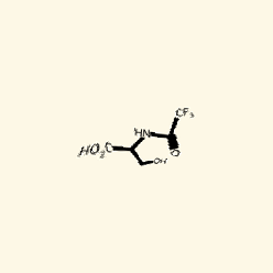 O=C(O)C(CO)NC(=O)C(F)(F)F